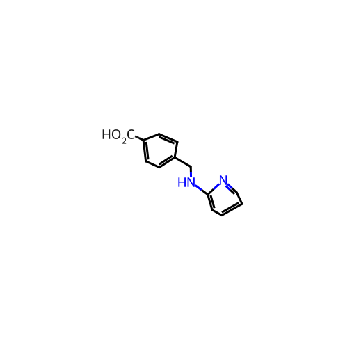 O=C(O)c1ccc(CNc2ccccn2)cc1